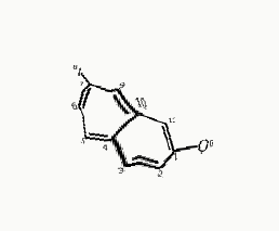 [O]c1ccc2ccc(I)cc2c1